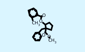 COC(=O)C1(Cc2ccccc2)CCCC1OC(=O)c1ccccc1C